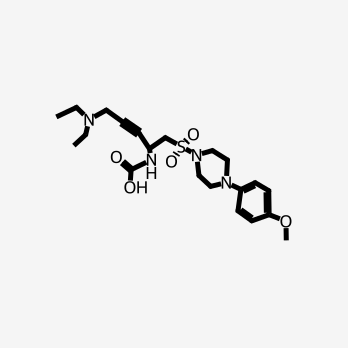 CCN(CC)CC#CC(CS(=O)(=O)N1CCN(c2ccc(OC)cc2)CC1)NC(=O)O